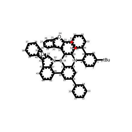 CC(C)(C)c1ccc(N2c3cc(-c4ccccc4)cc4c3B(c3c2ccc2oc5ccccc5c32)n2c3oc5ccccc5c3c3cccc-4c32)c(-c2ccccc2)c1